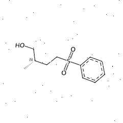 C[C@H](CO)CCS(=O)(=O)c1ccccc1